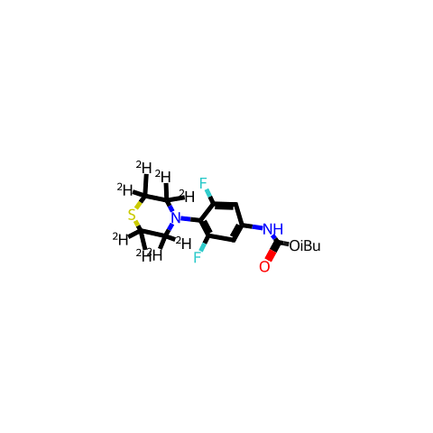 [2H]C1([2H])SC([2H])([2H])C([2H])([2H])N(c2c(F)cc(NC(=O)OCC(C)C)cc2F)C1([2H])[2H]